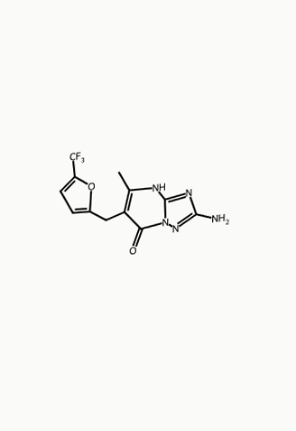 Cc1[nH]c2nc(N)nn2c(=O)c1Cc1ccc(C(F)(F)F)o1